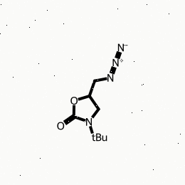 CC(C)(C)N1CC(CN=[N+]=[N-])OC1=O